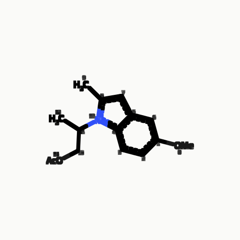 COc1ccc2c(c1)cc(C)n2C(C)COC(C)=O